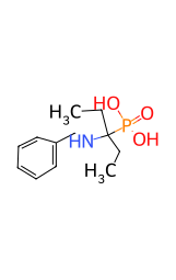 CCC(CC)(NCc1ccccc1)P(=O)(O)O